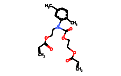 C=CC(=O)OCCOC(=O)N(CCOC(=O)C=C)c1cc(C)ccc1C